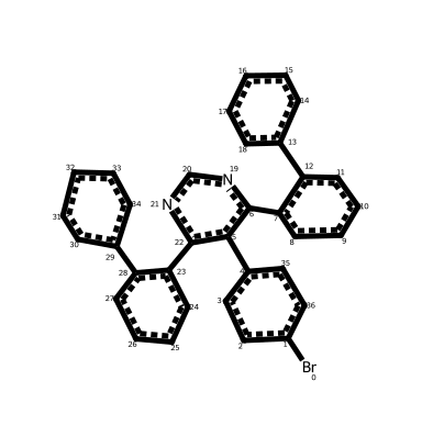 Brc1ccc(-c2c(-c3ccccc3-c3ccccc3)ncnc2-c2ccccc2-c2ccccc2)cc1